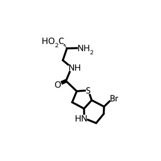 N[C@H](CNC(=O)C1CC2NCCC(Br)C2S1)C(=O)O